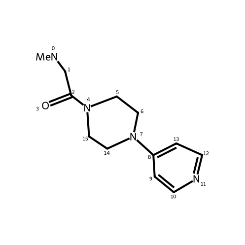 CNCC(=O)N1CCN(c2ccncc2)CC1